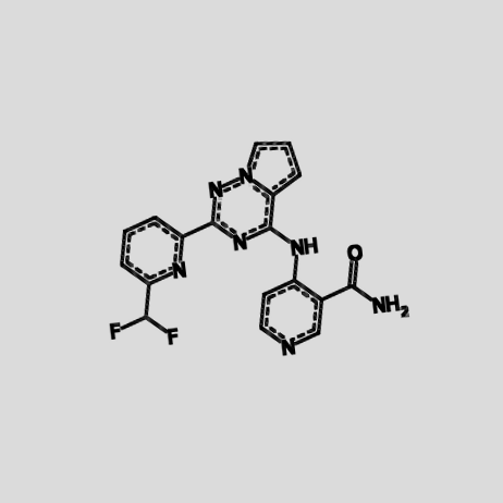 NC(=O)c1cnccc1Nc1nc(-c2cccc(C(F)F)n2)nn2cccc12